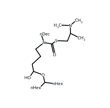 CCCCCCCCCCN(CCCC(O)OC(CCCCCC)CCCCCC)C(=O)SCC(C)N(C)C